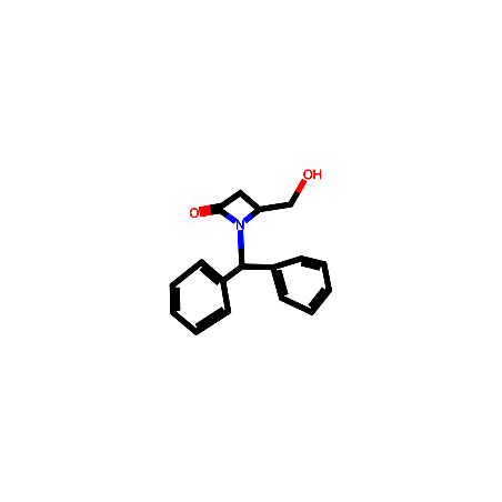 O=C1CC(CO)N1C(c1ccccc1)c1ccccc1